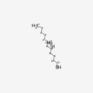 CCCCCCCCCCCCS.[2H]S